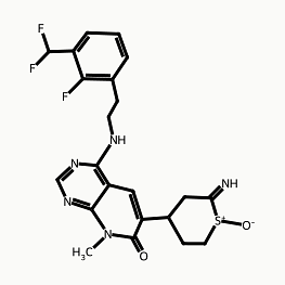 Cn1c(=O)c(C2CC[S+]([O-])C(=N)C2)cc2c(NCCc3cccc(C(F)F)c3F)ncnc21